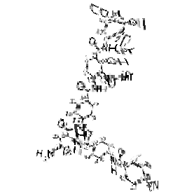 CC(C)Oc1c(NC(=O)c2ccc(NC(=O)c3ccc(NC(=O)C(CC(N)=O)NC(=O)c4ccc(NC(=O)c5ccc(C#N)cc5)cc4)cc3)c(OC(C)C)c2O)ccc(C(=O)O)c1O